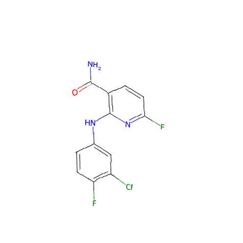 NC(=O)c1ccc(F)nc1Nc1ccc(F)c(Cl)c1